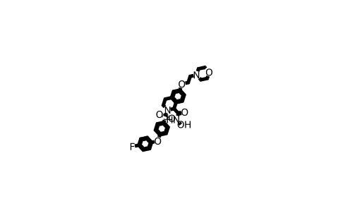 O=C(NO)C1c2ccc(OCCN3CCOCC3)cc2CCN1S(=O)(=O)c1ccc(Oc2ccc(F)cc2)cc1